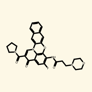 O=C(CCN1CCOCC1)Nc1c(F)cc2c(=O)c(C(=O)N3CCCC3)cn3c2c1Oc1cc2ccccc2cc1-3